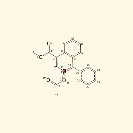 CO/C=C(/C(=O)OC)c1ccccc1C(=NOC(C)=O)c1ccccc1